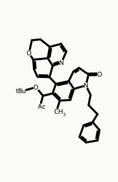 CC(=O)C(OC(C)(C)C)c1c(C)cc2c(ccc(=O)n2CCCc2ccccc2)c1-c1ccc2c3c(ccnc13)CCO2